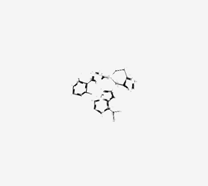 Fc1cccc(F)c1-c1nnc(N2CCc3[nH]cnc3[C@H]2c2cc3c(C(F)F)cccn3n2)o1